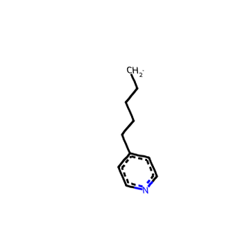 [CH2]CCCCc1ccncc1